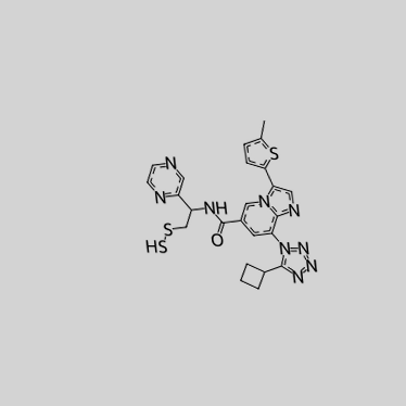 Cc1ccc(-c2cnc3c(-n4nnnc4C4CCC4)cc(C(=O)NC(CSS)c4cnccn4)cn23)s1